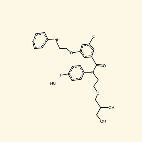 Cl.O=C(c1cc(Cl)cc(OCCNc2ccncc2)c1)N(CCOCC(O)CO)c1ccc(F)cc1